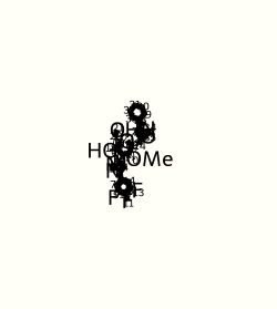 CO[C@@H]1[C@@H](n2cc(-c3cc(F)c(F)c(F)c3)nn2)[C@@H](O)[C@@H](CO)O[C@@H]1Cc1cc(C2CCCCC2)no1